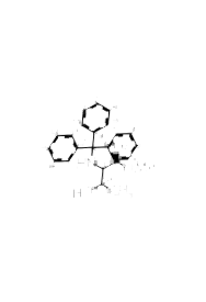 COC(=O)C(NC(c1ccccc1)(c1ccccc1)c1ccccc1)C(C)O